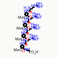 COc1ccc(NC(=O)[C@@H](CCCNC(=N)N)NC(=O)c2cc(NC(=O)[C@@H](CCCNC(=N)N)NC(=O)c3cc(NC(=O)[C@@H](CCCNC(=N)N)NC(=O)c4cc(NC(=O)[C@H](N)CCCNC(=N)N)ccc4OC)ccc3OC)ccc2OC)cc1C(=O)NCCC(=O)O